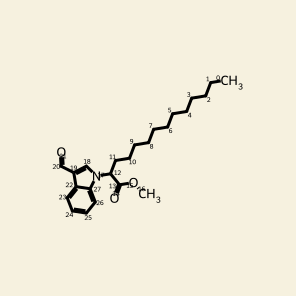 CCCCCCCCCCCCC(C(=O)OC)n1cc(C=O)c2ccccc21